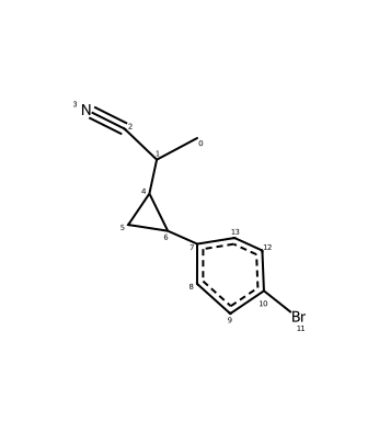 CC(C#N)C1CC1c1ccc(Br)cc1